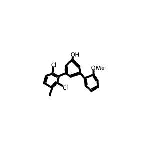 COc1ccccc1-c1cc(O)cc(-c2c(Cl)ccc(C)c2Cl)c1